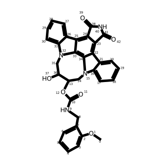 COc1ccccc1CNC(=O)OC1Cn2c3ccccc3c3c4c(c5c6ccccc6n(c5c32)CC1O)C(=O)NC4=O